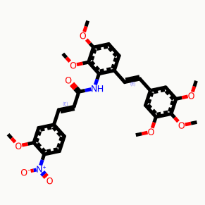 COc1cc(/C=C/C(=O)Nc2c(/C=C/c3cc(OC)c(OC)c(OC)c3)ccc(OC)c2OC)ccc1[N+](=O)[O-]